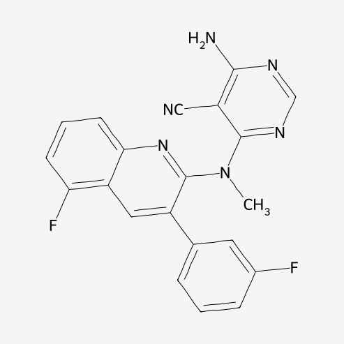 CN(c1nc2cccc(F)c2cc1-c1cccc(F)c1)c1ncnc(N)c1C#N